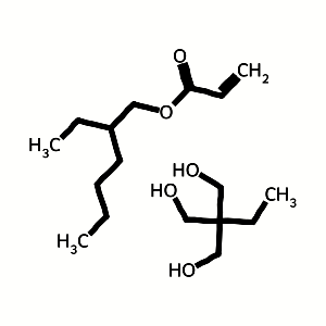 C=CC(=O)OCC(CC)CCCC.CCC(CO)(CO)CO